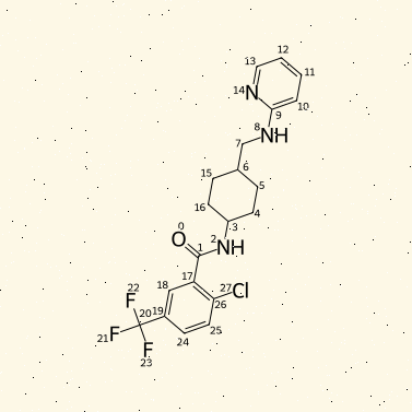 O=C(NC1CCC(CNc2ccccn2)CC1)c1cc(C(F)(F)F)ccc1Cl